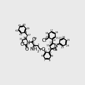 N[C@H](CCOc1ccccc1-c1cc(-c2ccccc2Cl)n(-c2ccccc2)n1)C(=O)N1C(=O)OC[C@H]1Cc1ccccc1